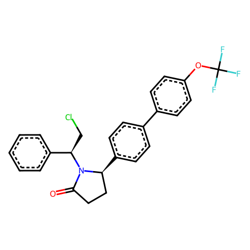 O=C1CC[C@H](c2ccc(-c3ccc(OC(F)(F)F)cc3)cc2)N1[C@H](CCl)c1ccccc1